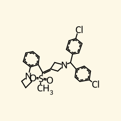 CS(=O)(=O)C(=C1CN(C(c2ccc(Cl)cc2)c2ccc(Cl)cc2)C1)c1ccccc1N1CCC1